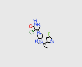 CC[C@@H](c1cncc(F)c1)n1cnc2c1CCN(c1cn[nH]c(=O)c1Cl)C2